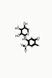 Cc1cc([N+](=O)[O-])c(N[C@@H]2OCC(O)C(O)C2O)cc1Cl